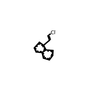 Cl/C=C/c1cccc2ccccc12